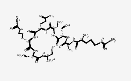 CC(C)C[C@H](NC(=O)[C@H](CC(=O)O)NC(=O)[C@H](CCCNC(=N)N)NC(=O)[C@H](CCC(N)=O)NC(=O)[C@H](CC(=O)O)NC(=O)[C@H](CO)NC(=O)[C@H](C)NC(=O)[C@@H](N)CCCNC(=N)N)C(=O)O